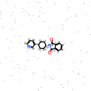 O=C1c2ccccc2C(=O)N1[C@H]1CC[C@@H](c2cccnc2)CC1